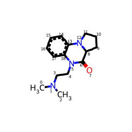 CN(C)CCN1C(=O)C2CCCN2c2ccccc21